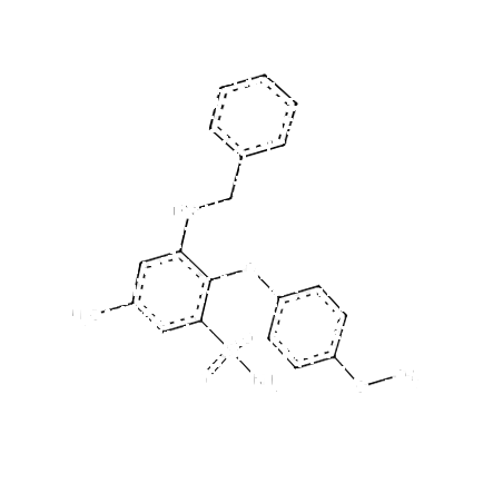 [CH2]c1cc(NCc2ccccc2)c(Oc2ccc(OC)cc2)c(S(N)(=O)=O)c1